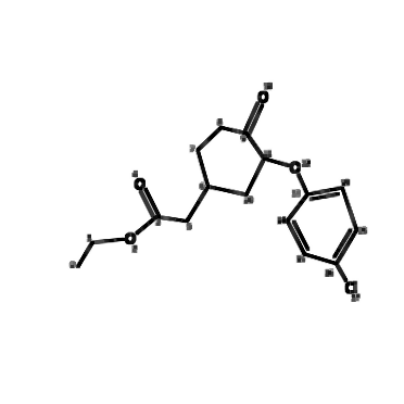 CCOC(=O)CC1CCC(=O)C(Oc2ccc(Cl)cc2)C1